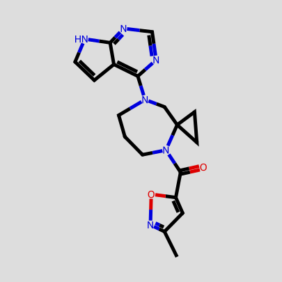 Cc1cc(C(=O)N2CCCN(c3ncnc4[nH]ccc34)CC23CC3)on1